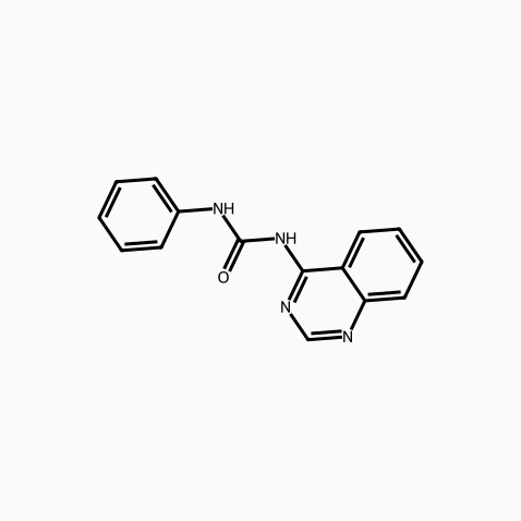 O=C(Nc1ccccc1)Nc1ncnc2ccccc12